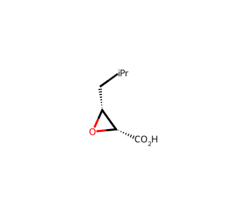 CC(C)C[C@H]1O[C@H]1C(=O)O